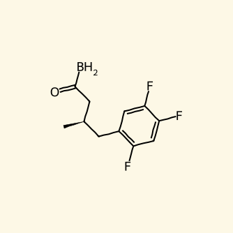 BC(=O)C[C@H](C)Cc1cc(F)c(F)cc1F